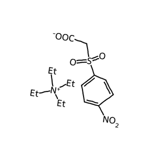 CC[N+](CC)(CC)CC.O=C([O-])CS(=O)(=O)c1ccc([N+](=O)[O-])cc1